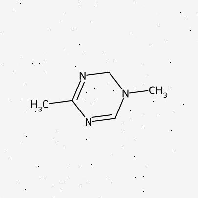 CC1=NCN(C)C=N1